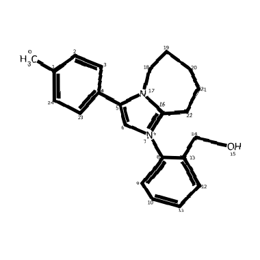 Cc1ccc(-c2c[n+](-c3ccccc3CO)c3n2CCCCC3)cc1